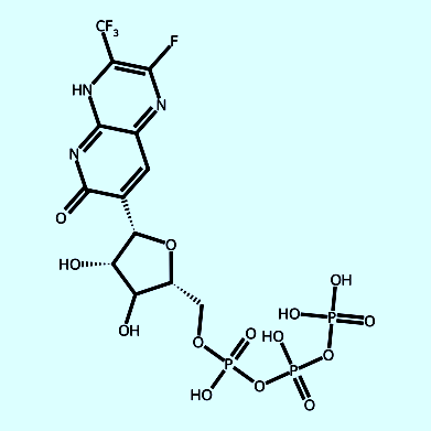 O=c1nc2[nH]c(C(F)(F)F)c(F)nc-2cc1[C@@H]1O[C@H](COP(=O)(O)OP(=O)(O)OP(=O)(O)O)C(O)[C@@H]1O